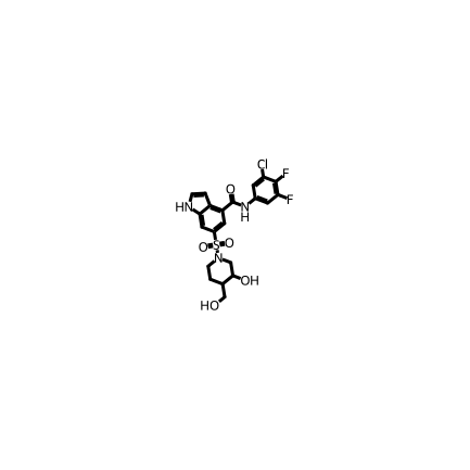 O=C(Nc1cc(F)c(F)c(Cl)c1)c1cc(S(=O)(=O)N2CCC(CO)C(O)C2)cc2[nH]ccc12